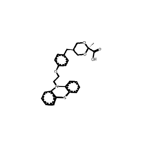 C[C@]1(C(=O)O)OC[C@@H](Cc2ccc(OCCN3c4ccccc4Sc4ccccc43)cc2)CO1